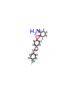 Nc1ccccc1Oc1ccc(OCc2ccc(F)cc2)cc1